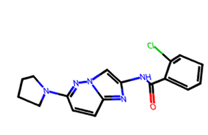 O=C(Nc1cn2nc(N3CCCC3)ccc2n1)c1ccccc1Cl